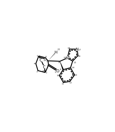 O=C1C2CCC(=C[C@H]1[C@@H]1c3ccccc3-c3cncn31)CC2